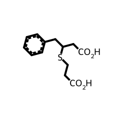 O=C(O)CCSC(CC(=O)O)Cc1ccccc1